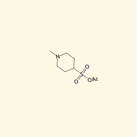 CC(=O)OS(=O)(=O)C1CCN(C)CC1